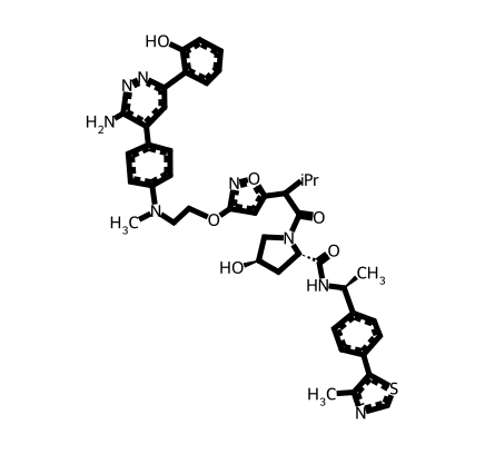 Cc1ncsc1-c1ccc([C@H](C)NC(=O)[C@@H]2C[C@@H](O)CN2C(=O)C(c2cc(OCCN(C)c3ccc(-c4cc(-c5ccccc5O)nnc4N)cc3)no2)C(C)C)cc1